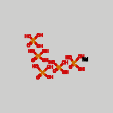 O=P(O)(O)O.O=P(O)(O)O.O=P(O)(O)O.O=P(O)(O)O.O=P(O)(O)O.[Nd]